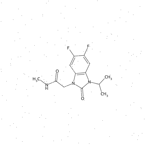 CNC(=O)Cn1c(=O)n(C(C)C)c2cc(F)c(F)cc21